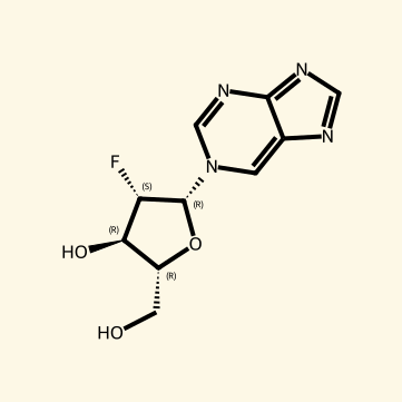 OC[C@H]1O[C@@H](n2cnc3ncnc-3c2)[C@@H](F)[C@@H]1O